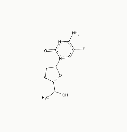 CC(O)C1OC(n2cc(F)c(N)nc2=O)CS1